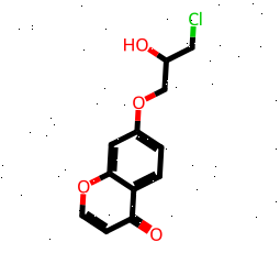 O=c1ccoc2cc(OCC(O)CCl)ccc12